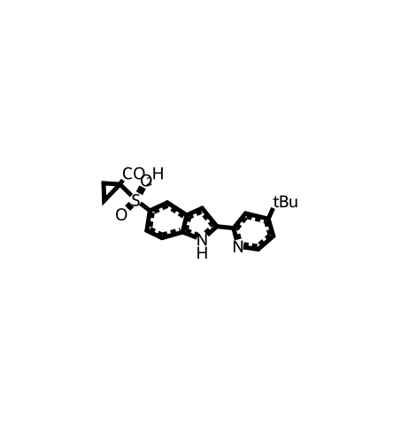 CC(C)(C)c1ccnc(-c2cc3cc(S(=O)(=O)C4(C(=O)O)CC4)ccc3[nH]2)c1